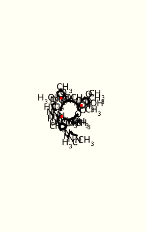 CC[C@H]1OC(=O)[C@H](C)[C@@H](O[C@H]2C[C@@](C)(OC)[C@@H](O)[C@H](C)O2)[C@H](C)[C@@H](O[C@@H]2O[C@H](C)C[C@H](N(C)CCc3cn([C@H](CF)[C@H](OC)c4ccc(-n5cc(CN(C)C)nn5)cc4)nn3)[C@H]2O)[C@](C)(O)C[C@@H](C)CN(C)[C@H](C)[C@@H](O)[C@]1(C)O